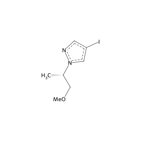 COC[C@H](C)n1cc(I)cn1